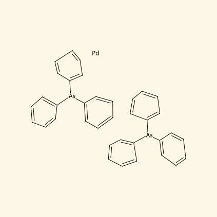 [Pd].c1ccc([As](c2ccccc2)c2ccccc2)cc1.c1ccc([As](c2ccccc2)c2ccccc2)cc1